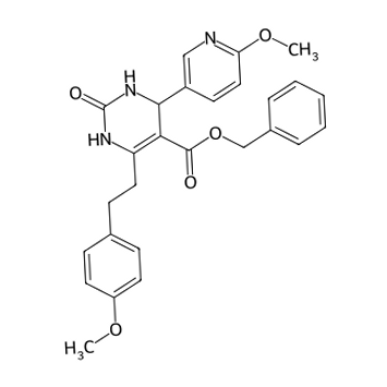 COc1ccc(CCC2=C(C(=O)OCc3ccccc3)C(c3ccc(OC)nc3)NC(=O)N2)cc1